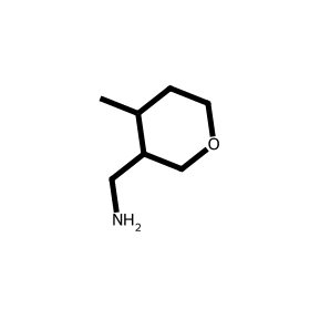 CC1CCOCC1CN